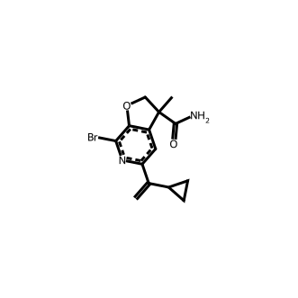 C=C(c1cc2c(c(Br)n1)OCC2(C)C(N)=O)C1CC1